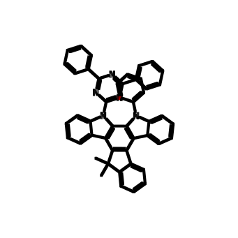 CC1(C)c2ccccc2-c2c1c1c3ccccc3n(-c3nc(-c4ccccc4)nc(-c4ccccc4)n3)c1c1c2c2ccccc2n1-c1ccccc1